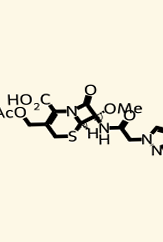 CO[C@@]1(NC(=O)Cn2cnnn2)C(=O)N2C(C(=O)O)=C(COC(C)=O)CS[C@@H]21